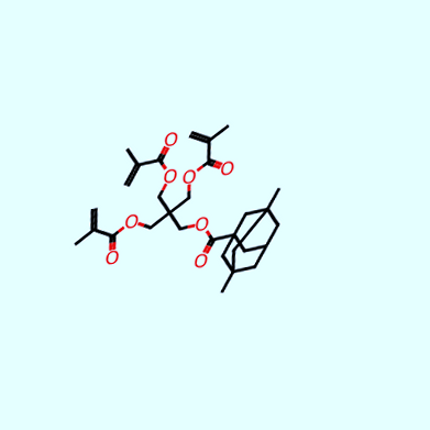 C=C(C)C(=O)OCC(COC(=O)C(=C)C)(COC(=O)C(=C)C)COC(=O)C12CC3CC(C)(CC(C)(C3)C1)C2